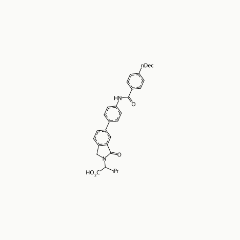 CCCCCCCCCCc1ccc(C(=O)Nc2ccc(-c3ccc4c(c3)C(=O)N(C(C(=O)O)C(C)C)C4)cc2)cc1